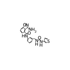 Nc1noc2cccc(C(=O)Nc3cccc(CNC(=O)Nc4ccsc4)c3)c12